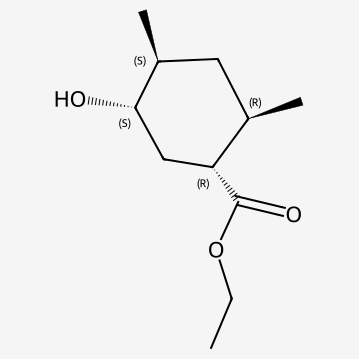 CCOC(=O)[C@@H]1C[C@H](O)[C@@H](C)C[C@H]1C